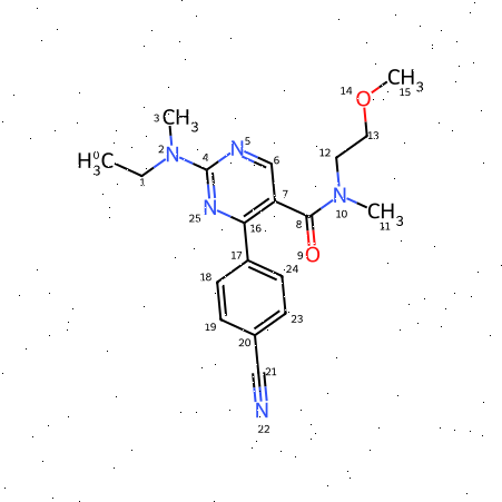 CCN(C)c1ncc(C(=O)N(C)CCOC)c(-c2ccc(C#N)cc2)n1